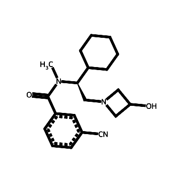 CN(C(=O)c1cccc(C#N)c1)[C@H](CN1CC(O)C1)C1CCCCC1